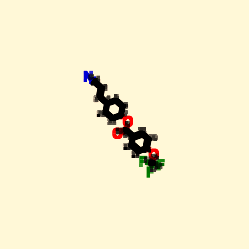 N#CC=CC1CCC(OC(=O)c2ccc(OC(F)(F)F)cc2)CC1